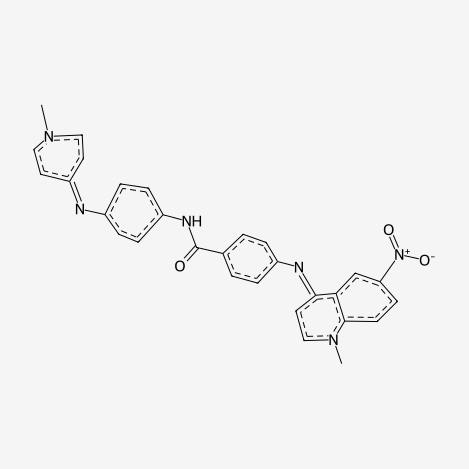 Cn1ccc(=Nc2ccc(NC(=O)c3ccc(/N=c4\ccn(C)c5ccc([N+](=O)[O-])cc45)cc3)cc2)cc1